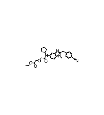 CCOC(=O)COCC(=O)N(c1ccc2c(c1)nc(Cc1ccc(C#N)cc1)n2C)C1CCCC1